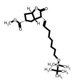 COC(=O)[C@H]1C[C@@H]2[C@@H](C1)OC(=O)[C@@H]2C=CCCCCCCO[Si](C)(C)C(C)(C)C